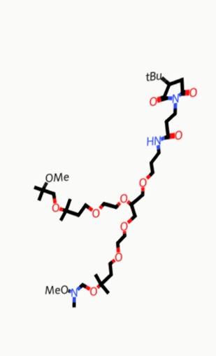 CON(C)COC(C)(C)CCOCCOCC(COCCCNC(=O)CCN1C(=O)CC(C(C)(C)C)C1=O)OCCOCCC(C)(C)OCC(C)(C)OC